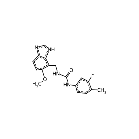 COc1ccc2nc[nH]c2c1CNC(=O)Nc1ccc(C)c(F)c1